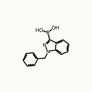 OB(O)c1nn(Cc2ccccc2)c2ccccc12